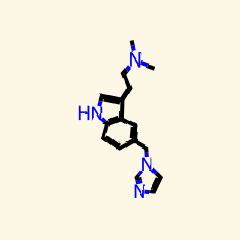 CN(C)CCc1c[nH]c2ccc(Cn3ccnc3)cc12